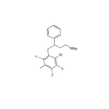 CNCCC(Cc1c(F)c(C)c(F)c(F)c1Br)c1ccccc1